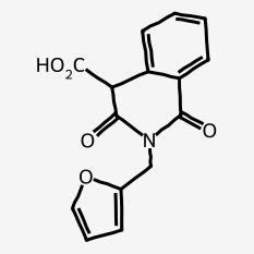 O=C(O)C1C(=O)N(Cc2ccco2)C(=O)c2ccccc21